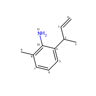 C=CC(C)c1cccc(C)c1N